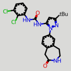 CC(C)(C)c1cc(NC(=O)Nc2cccc(Cl)c2Cl)n(-c2ccc3c(c2)CCNC(=O)C3)n1